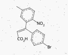 Cc1ccc([N+](=O)[O-])c(C(=CC(=O)O)c2ccc(Br)cc2)c1